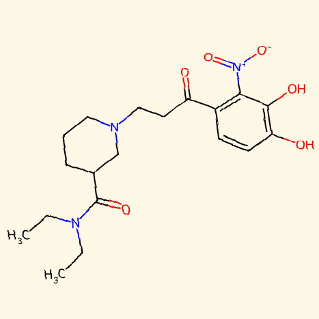 CCN(CC)C(=O)C1CCCN(CCC(=O)c2ccc(O)c(O)c2[N+](=O)[O-])C1